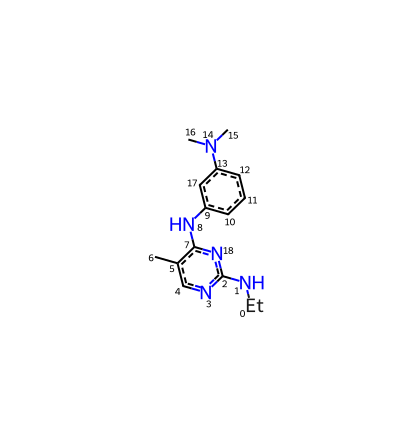 CCNc1ncc(C)c(Nc2cccc(N(C)C)c2)n1